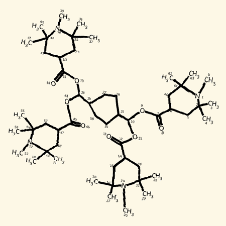 CN1C(C)(C)CC(C(=O)OC(OC(=O)C2CC(C)(C)N(C)C(C)(C)C2)C2CCC(C(OC(=O)C3CC(C)(C)N(C)C(C)(C)C3)OC(=O)C3CC(C)(C)N(C)C(C)(C)C3)CC2)CC1(C)C